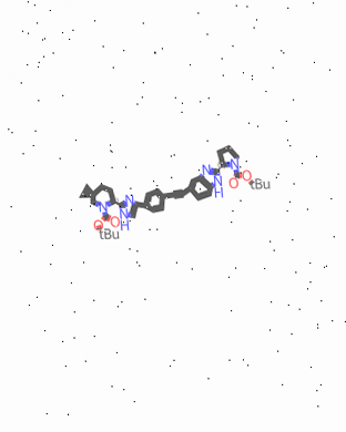 CC(C)(C)OC(=O)N1CC2(CC[C@H]1c1nc(-c3ccc(C#Cc4ccc5[nH]c([C@@H]6CCCN6C(=O)OC(C)(C)C)nc5c4)cc3)c[nH]1)CC2